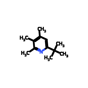 Cc1cc(C(C)(C)C)nc(C)c1C